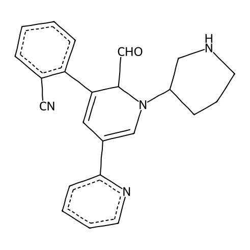 N#Cc1ccccc1C1=CC(c2ccccn2)=CN(C2CCCNC2)C1C=O